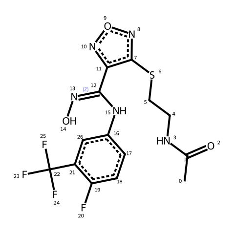 CC(=O)NCCSc1nonc1/C(=N/O)Nc1ccc(F)c(C(F)(F)F)c1